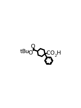 CC(C)(C)OC(=O)C1CCC(C(=O)O)(c2ccccc2)CC1